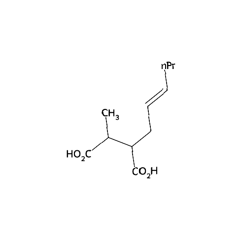 CCCC=CCC(C(=O)O)C(C)C(=O)O